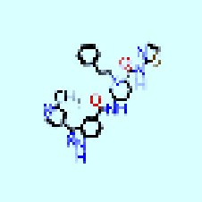 Cc1cc(-c2n[nH]c3ccc(C(=O)N[C@@H]4CC[C@@H](C(=O)Nc5nccs5)N(CCc5ccccc5)C4)cc23)ccn1